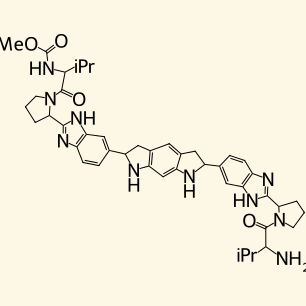 COC(=O)NC(C(=O)N1CCCC1c1nc2ccc(C3Cc4cc5c(cc4N3)NC(c3ccc4nc(C6CCCN6C(=O)C(N)C(C)C)[nH]c4c3)C5)cc2[nH]1)C(C)C